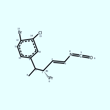 CC(C)[C@@H](C=CN=C=O)C(C)c1ccc(Br)c(Cl)c1